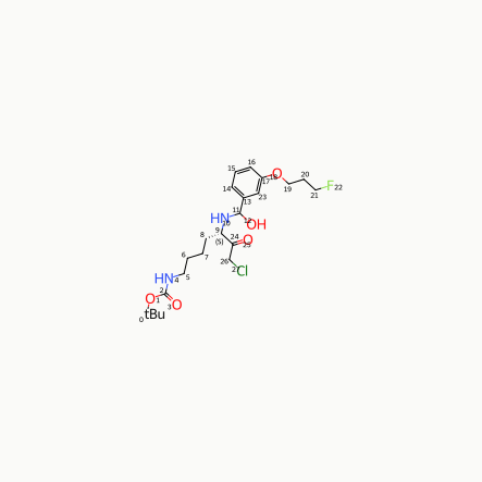 CC(C)(C)OC(=O)NCCCC[C@H](NC(O)c1cccc(OCCCF)c1)C(=O)CCl